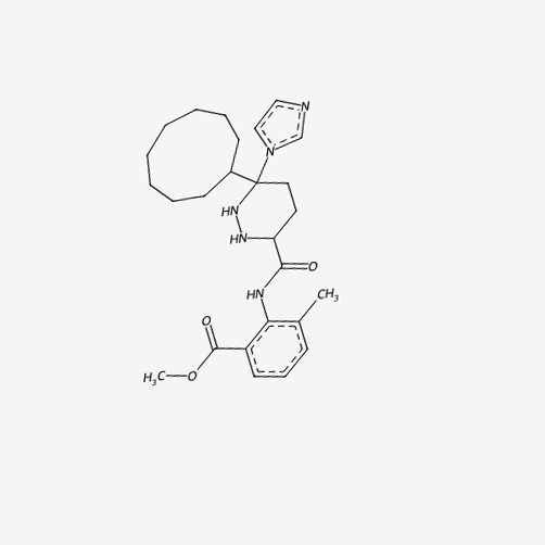 COC(=O)c1cccc(C)c1NC(=O)C1CCC(C2CCCCCCCC2)(n2ccnc2)NN1